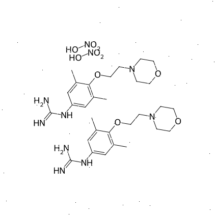 Cc1cc(NC(=N)N)cc(C)c1OCCN1CCOCC1.Cc1cc(NC(=N)N)cc(C)c1OCCN1CCOCC1.O=[N+]([O-])O.O=[N+]([O-])O